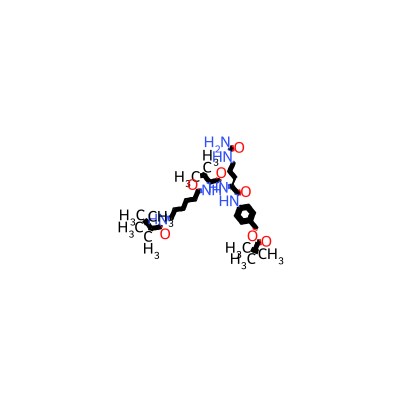 CC(C)C(NC(=O)CCCCCNC(=O)C(C)C(C)(C)C)C(=O)N[C@@H](CCCNC(N)=O)C(=O)Nc1ccc(COC(=O)C(C)(C)C)cc1